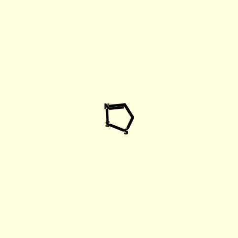 C1=NSSC1